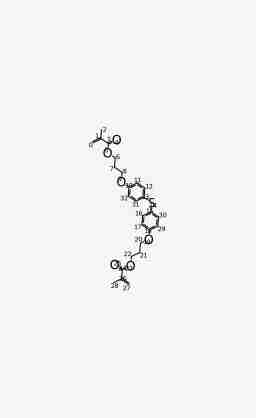 C=C(C)C(=O)OCCCOc1ccc(Sc2ccc(OCCCOC(=O)C(=C)C)cc2)cc1